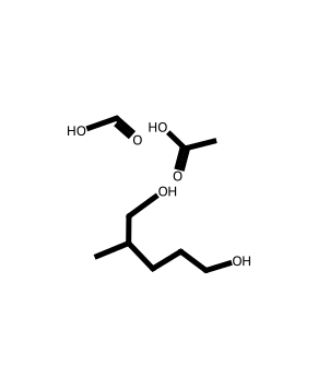 CC(=O)O.CC(CO)CCCO.O=CO